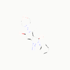 Cc1c2c(=O)n(-c3ccccc3)[nH]c2cc(=O)n1N1CCOCC1